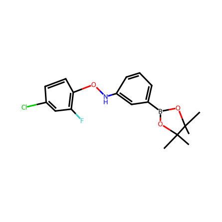 CC1(C)OB(c2cccc(NOc3ccc(Cl)cc3F)c2)OC1(C)C